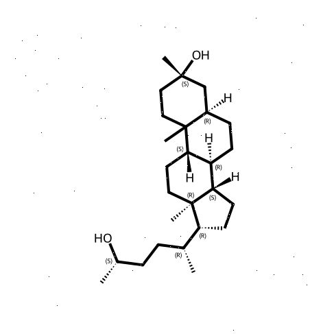 C[C@H](O)CC[C@@H](C)[C@H]1CC[C@H]2[C@@H]3CC[C@@H]4C[C@@](C)(O)CCC4(C)[C@H]3CC[C@]12C